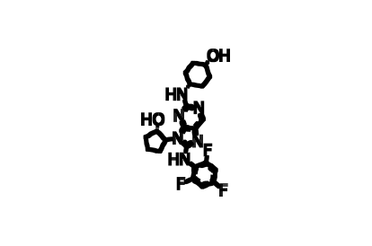 O[C@H]1CCCC1n1c(Nc2c(F)cc(F)cc2F)nc2cnc(N[C@H]3CC[C@H](O)CC3)nc21